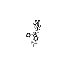 C=C(OC(=O)C(C)(C)Cn1nc(-c2ccccc2)c2cc(C(F)(F)F)ccc21)C(F)(F)F